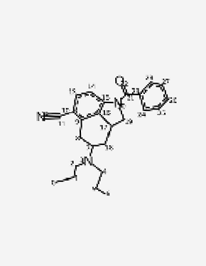 CCCN(CCC)C1Cc2c(C#N)ccc3c2C(C1)CN3C(=O)c1ccccc1